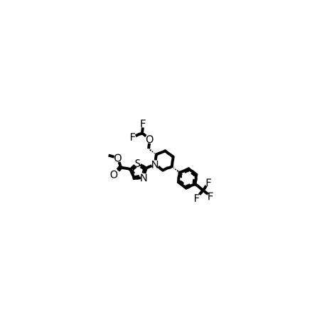 COC(=O)c1cnc(N2C[C@@H](c3ccc(C(F)(F)F)cc3)CC[C@H]2COC(F)F)s1